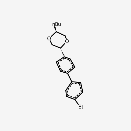 CCCC[C@H]1CO[C@H](c2ccc(-c3ccc(CC)cc3)cc2)CO1